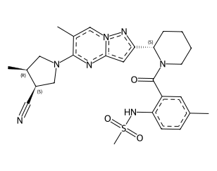 Cc1ccc(NS(C)(=O)=O)c(C(=O)N2CCCC[C@H]2c2cc3nc(N4C[C@@H](C#N)[C@@H](C)C4)c(C)cn3n2)c1